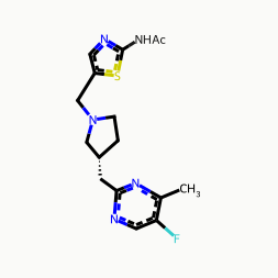 CC(=O)Nc1ncc(CN2CC[C@H](Cc3ncc(F)c(C)n3)C2)s1